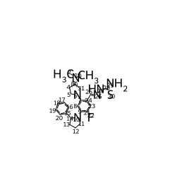 CN(C)[C@@H]1CCN(c2cc(N3CCCC3c3ccccc3)c(F)cc2C=NNC(N)=S)C1